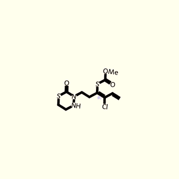 C=C/C(Cl)=C(/CCN1NCCSC1=O)SC(=O)OC